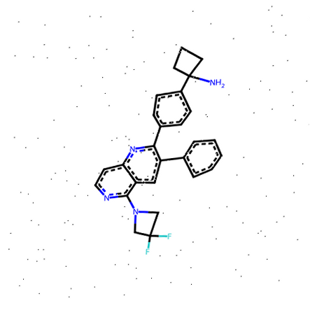 NC1(c2ccc(-c3nc4ccnc(N5CC(F)(F)C5)c4cc3-c3ccccc3)cc2)CCC1